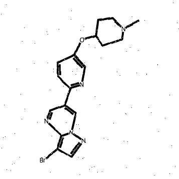 CN1CCC(Oc2ccc(-c3cnc4c(Br)cnn4c3)nc2)CC1